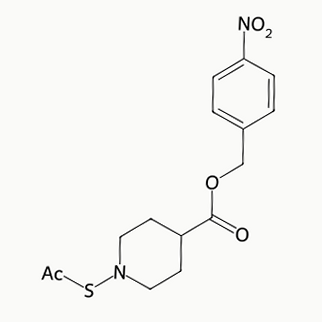 CC(=O)SN1CCC(C(=O)OCc2ccc([N+](=O)[O-])cc2)CC1